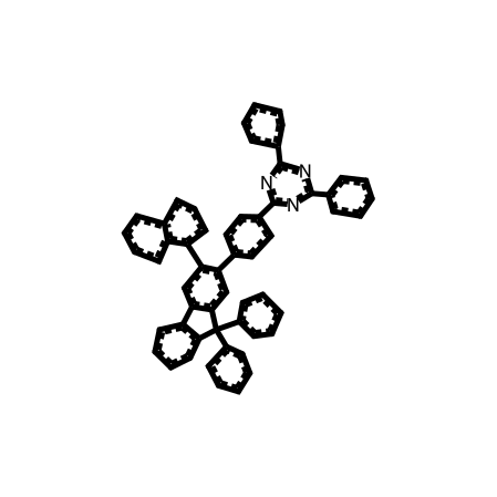 c1ccc(-c2nc(-c3ccccc3)nc(-c3ccc(-c4cc5c(cc4-c4cccc6ccccc46)-c4ccccc4C5(c4ccccc4)c4ccccc4)cc3)n2)cc1